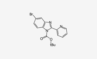 CC(C)(C)OC(=O)n1c(-c2ccccn2)nc2cc(Br)ccc21